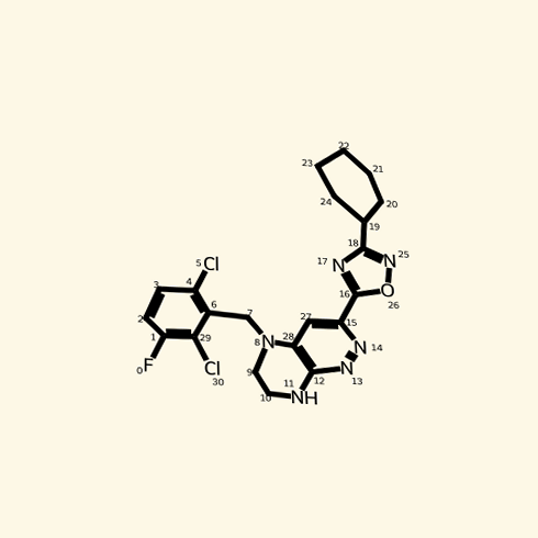 Fc1ccc(Cl)c(CN2CCNc3nnc(-c4nc(C5CCCCC5)no4)cc32)c1Cl